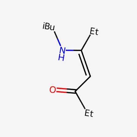 CCC(=O)C=C(CC)NC(C)CC